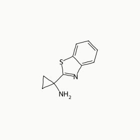 NC1(c2nc3ccccc3s2)CC1